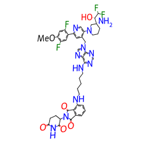 COc1cc(F)c(-c2cc(Cn3cnc4c(NCCCCCNc5cccc6c5C(=O)N(C5CCC(=O)NC5=O)C6=O)ncnc43)c(N3CCC[C@](N)([C@H](O)C(F)F)C3)cn2)cc1F